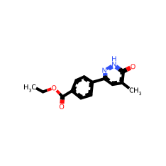 CCOC(=O)c1ccc(-c2cc(C)c(=O)[nH]n2)cc1